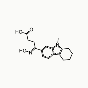 Cn1c2c(c3ccc(C(CCC(=O)O)=NO)cc31)CCCC2